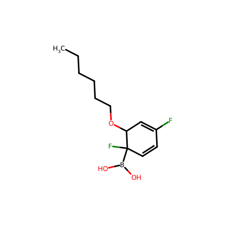 CCCCCCOC1C=C(F)C=CC1(F)B(O)O